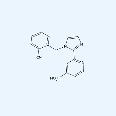 N#Cc1ccccc1Cn1ccnc1-c1cc(C(=O)O)ccn1